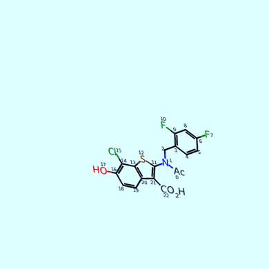 CC(=O)N(Cc1ccc(F)cc1F)c1sc2c(Cl)c(O)ccc2c1C(=O)O